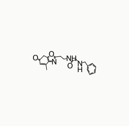 CC1=CC(=O)Cc2oc(CCNC(=O)CNCc3ccccc3)nc21